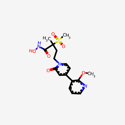 COc1ncccc1-c1ccn(CCC(C)(C(=O)NO)S(C)(=O)=O)c(=O)c1